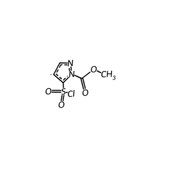 COC(=O)n1nc[c]c1S(=O)(=O)Cl